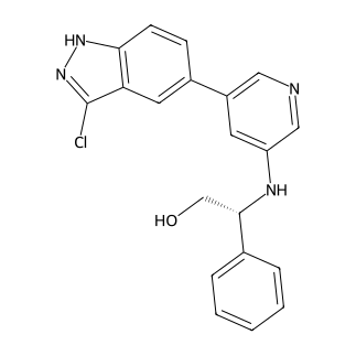 OC[C@H](Nc1cncc(-c2ccc3[nH]nc(Cl)c3c2)c1)c1ccccc1